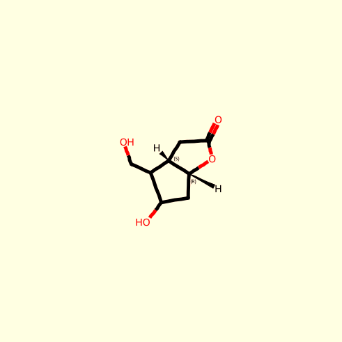 O=C1C[C@H]2C(CO)C(O)C[C@H]2O1